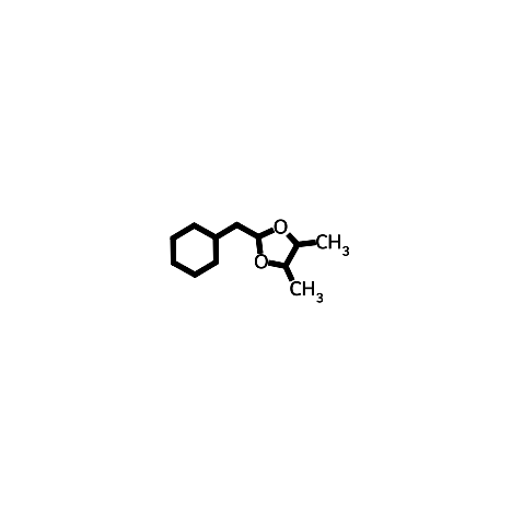 CC1OC(CC2CCCCC2)OC1C